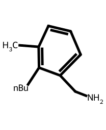 CCCCc1c(C)cccc1CN